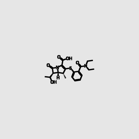 CCN(CC)C(=O)c1ccccc1SC1=C(C(=O)O)N2C(=O)[C@H](C(C)O)[C@H]2[C@H]1C